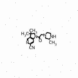 C[C@@H]1CN(CC(=O)N2CC(C)(C)c3cnc(C#N)cc32)CCN1